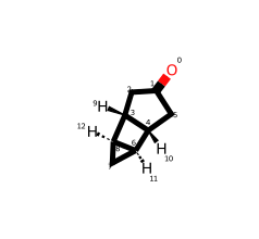 O=C1C[C@@H]2[C@H](C1)[C@H]1C[C@@H]21